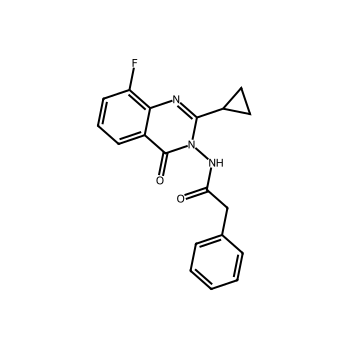 O=C(Cc1ccccc1)Nn1c(C2CC2)nc2c(F)cccc2c1=O